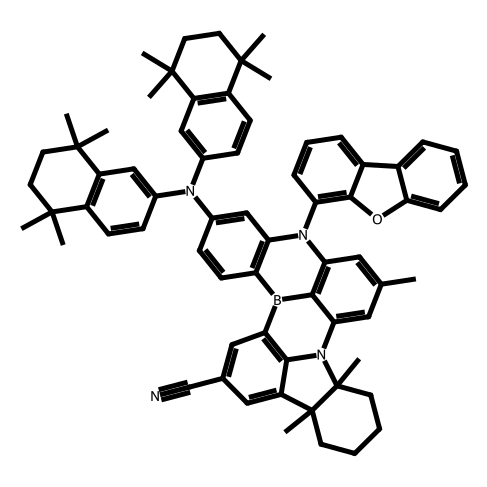 Cc1cc2c3c(c1)N1c4c(cc(C#N)cc4C4(C)CCCCC14C)B3c1ccc(N(c3ccc4c(c3)C(C)(C)CCC4(C)C)c3ccc4c(c3)C(C)(C)CCC4(C)C)cc1N2c1cccc2c1oc1ccccc12